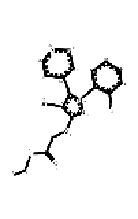 CCOC(=O)COc1nn(-c2ccccc2F)c(-c2ccnnc2)c1Br